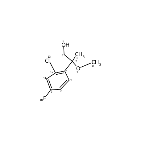 COC(C)(CO)c1ccc(F)cc1Cl